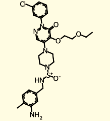 CCOCCOc1c(N2CCN([S+]([O-])NCc3ccc(C)c(N)c3)CC2)cnn(-c2cccc(Cl)c2)c1=O